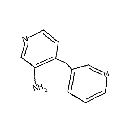 Nc1cnccc1-c1cccnc1